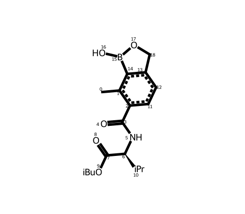 Cc1c(C(=O)N[C@H](C(=O)OCC(C)C)C(C)C)ccc2c1B(O)OC2